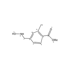 COC(=O)c1ccc(CNO)cc1C